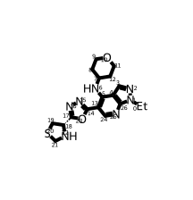 CCn1ncc2c(NC3CCOCC3)c(-c3nnc([C@H]4CSCN4)o3)cnc21